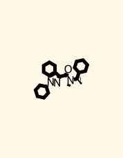 C[C@H](C1CCCCC1)N(C)C(=O)c1nn(C2CCCCC2)c2c1CCCC2